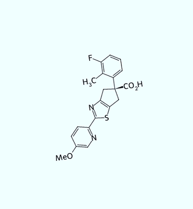 COc1ccc(-c2nc3c(s2)C[C@@](C(=O)O)(c2cccc(F)c2C)C3)nc1